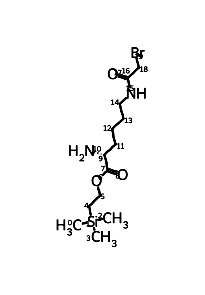 C[Si](C)(C)CCOC(=O)[C@H](N)CCCCNC(=O)CBr